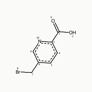 O=C(O)c1ccc(CBr)cn1